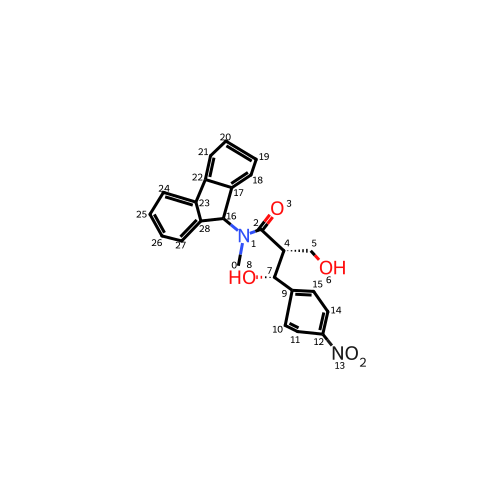 CN(C(=O)[C@H](CO)[C@@H](O)c1ccc([N+](=O)[O-])cc1)C1c2ccccc2-c2ccccc21